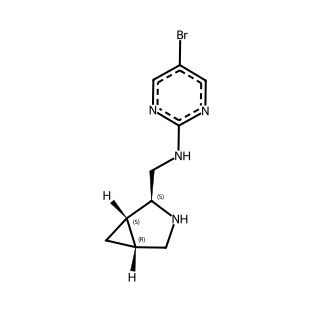 Brc1cnc(NC[C@H]2NC[C@@H]3C[C@@H]32)nc1